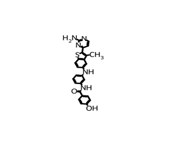 Cc1c(-c2ccnc(N)n2)sc2ccc(Nc3cccc(NC(=O)c4ccc(O)cc4)c3)cc12